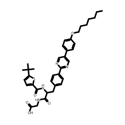 CCCCCCCOc1ccc(-c2cnc(-c3ccc(CC(NC(=O)c4ccc(C(C)(C)C)s4)C(=O)NCC(=O)O)cc3)nc2)cc1